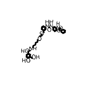 O=C(Nc1cccc(COCCOCCCCCCNC[C@@H](O)c2ccc(O)c(CO)c2)c1)Nc1cccc(NS(=O)(=O)c2ccccc2)c1